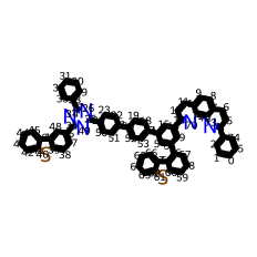 c1ccc(-c2ccc3ccc4ccc(-c5cc(-c6ccc(-c7ccc(-c8nc(-c9ccccc9)nc(-c9ccc%10sc%11ccccc%11c%10c9)n8)cc7)cc6)cc(-c6cccc7sc8ccccc8c67)c5)nc4c3n2)cc1